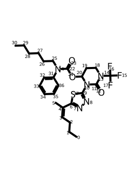 CCC/C=C(/C)c1nnc(N2C(=O)N(C(F)(F)F)CCC2OC(=O)N(CCCCCC)c2ccccc2)s1